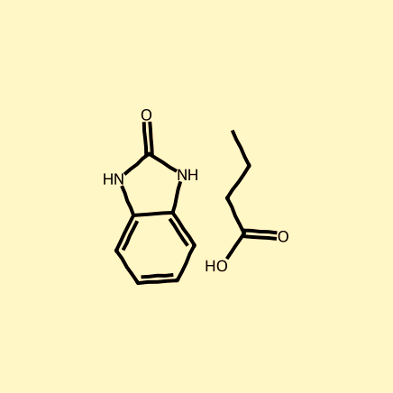 CCCC(=O)O.O=c1[nH]c2ccccc2[nH]1